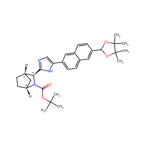 CC(C)(C)OC(=O)N1[C@@H]2CC[C@@H](C2)[C@H]1c1ncc(-c2ccc3cc(B4OC(C)(C)C(C)(C)O4)ccc3c2)[nH]1